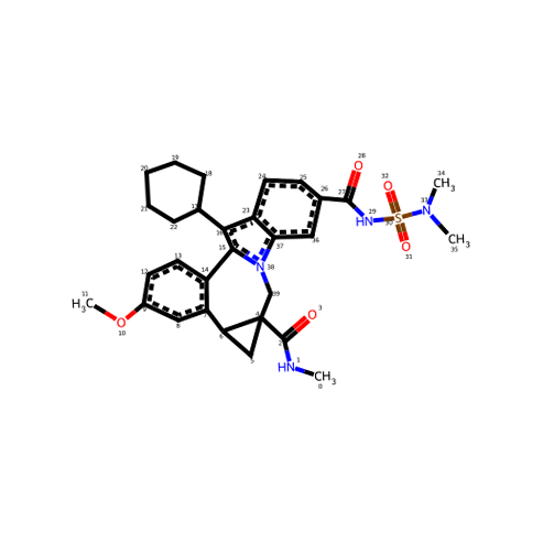 CNC(=O)C12CC1c1cc(OC)ccc1-c1c(C3CCCCC3)c3ccc(C(=O)NS(=O)(=O)N(C)C)cc3n1C2